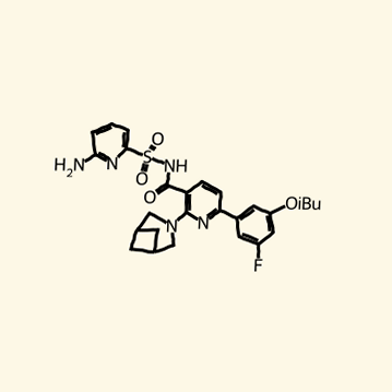 CC(C)COc1cc(F)cc(-c2ccc(C(=O)NS(=O)(=O)c3cccc(N)n3)c(N3CC4CC(C4)C3)n2)c1